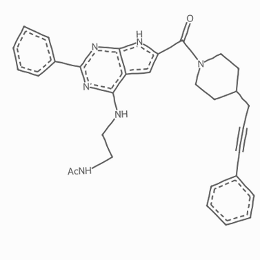 CC(=O)NCCNc1nc(-c2ccccc2)nc2[nH]c(C(=O)N3CCC(CC#Cc4ccccc4)CC3)cc12